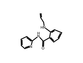 C=CCNc1ccccc1C(=O)Nc1ccccn1